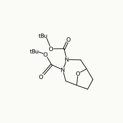 CC(C)(C)OC(=O)N1CC2CCC(CN1C(=O)OC(C)(C)C)O2